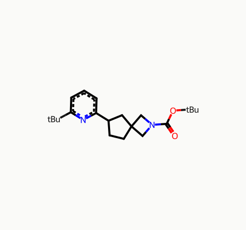 CC(C)(C)OC(=O)N1CC2(CCC(c3cccc(C(C)(C)C)n3)C2)C1